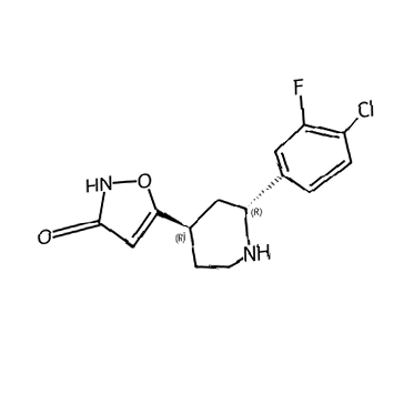 O=c1cc([C@@H]2CCN[C@@H](c3ccc(Cl)c(F)c3)C2)o[nH]1